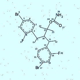 CC(c1ccc(Br)cc1F)C(C(C)c1ccc(Br)cc1F)C(C)(C)OC(N)=O